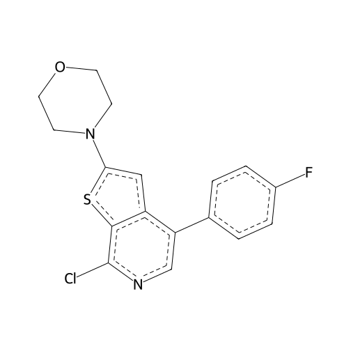 Fc1ccc(-c2cnc(Cl)c3sc(N4CCOCC4)cc23)cc1